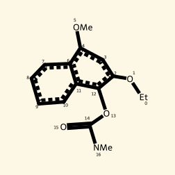 CCOc1cc(OC)c2ccccc2c1OC(=O)NC